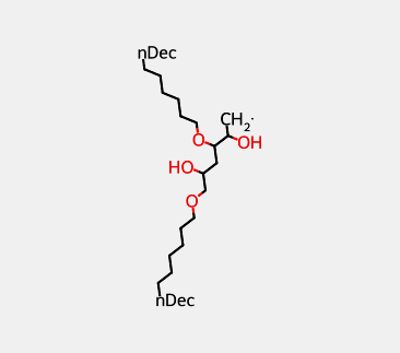 [CH2]C(O)C(CC(O)COCCCCCCCCCCCCCCCC)OCCCCCCCCCCCCCCCC